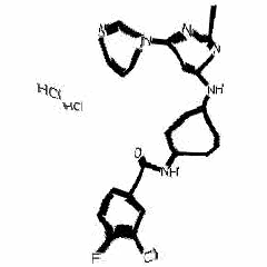 Cc1nc(NC2CCC(NC(=O)c3ccc(F)c(Cl)c3)CC2)cc(-n2ccnc2)n1.Cl.Cl